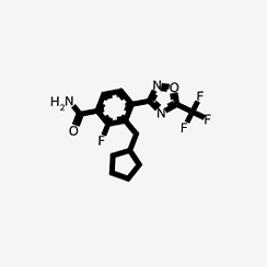 NC(=O)c1ccc(-c2noc(C(F)(F)F)n2)c(CC2CCCC2)c1F